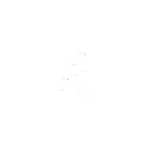 Cc1cccc(C)c1NC(=O)C(C#N)C(=O)C1=CC(C)C2=c3c1cccc3=C1N=NC=C12